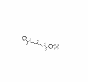 O=C(NCCCC(Cl)CCCNC(=O)c1ccc(OC(F)(F)F)cc1)c1ccccc1